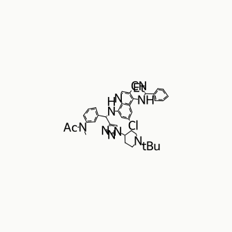 CC[C@@H](Nc1c(C#N)cnc2c(N[C@@H](c3cccc(N(C)C(C)=O)c3)c3cn(C4CCN(C(C)(C)C)CC4)nn3)cc(Cl)cc12)c1ccccc1